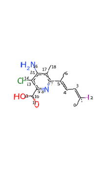 C/C(I)=C\C=C(/C)c1nc(C(=O)O)c(Cl)c(N)c1C